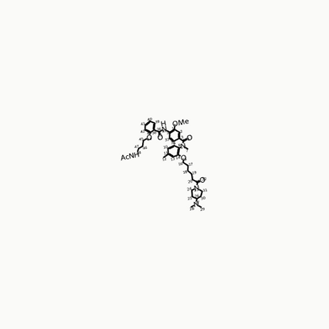 COc1cc(C(=O)N(C)c2ccc(C)cc2OCCCCCC(=O)N2CCC(N(C)C)CC2)ccc1NC(=O)c1ccccc1OCCCNC(C)=O